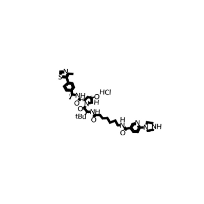 Cc1ncsc1-c1ccc([C@H](C)NC(=O)[C@@H]2C[C@@H](O)CN2C(=O)[C@@H](NC(=O)CCCCCCNC(=O)c2ccc(N3CCNCC3)nc2)C(C)(C)C)cc1.Cl